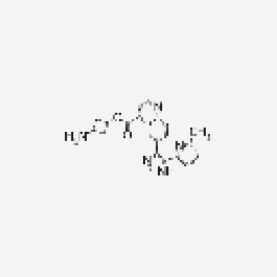 Cc1cccc(-c2[nH]cnc2-c2ccc3nccc(C(=O)O[C@H]4C[C@H](N)C4)c3c2)n1